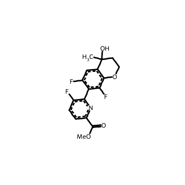 COC(=O)c1ccc(F)c(-c2c(F)cc3c(c2F)OCCC3(C)O)n1